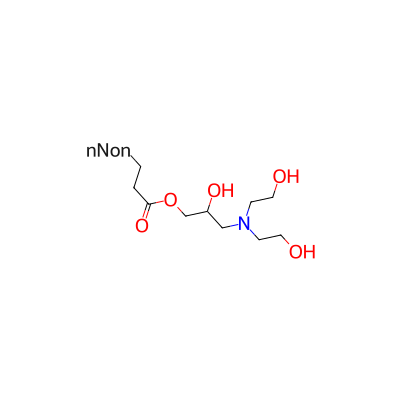 CCCCCCCCCCCC(=O)OCC(O)CN(CCO)CCO